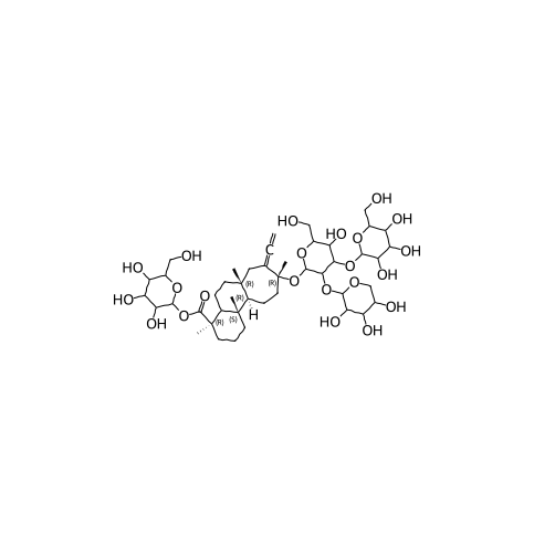 C=C=C1C[C@@]2(C)CCC3[C@](C)(C(=O)OC4OC(CO)C(O)C(O)C4O)CCC[C@@]3(C)[C@@H]2CC[C@@]1(C)OC1OC(CO)C(O)C(OC2OC(CO)C(O)C(O)C2O)C1OC1OCC(O)C(O)C1O